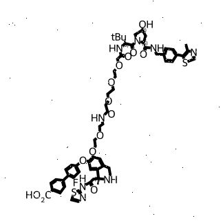 Cc1ncsc1-c1ccc(CNC(=O)[C@@H]2C[C@@H](O)CN2C(=O)[C@@H](NC(=O)COCCOCCOCC(=O)NCCOCCOc2cc3c(cc2Oc2ccc(-c4ccc(C(=O)O)cc4)c(F)c2)[C@@](C)(CC(=O)Nc2nccs2)NCC3)C(C)(C)C)cc1